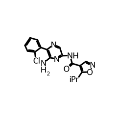 CC(C)c1oncc1C(=O)Nc1cnc(-c2ccccc2Cl)c(N)n1